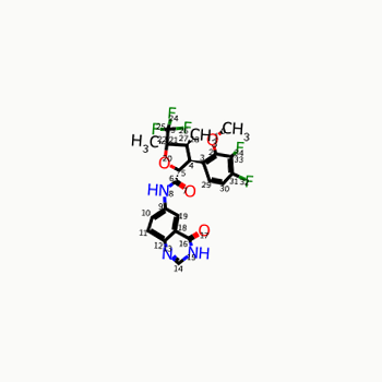 COc1c([C@H]2[C@H](C(=O)Nc3ccc4nc[nH]c(=O)c4c3)O[C@@](C)(C(F)(F)F)[C@H]2C)ccc(F)c1F